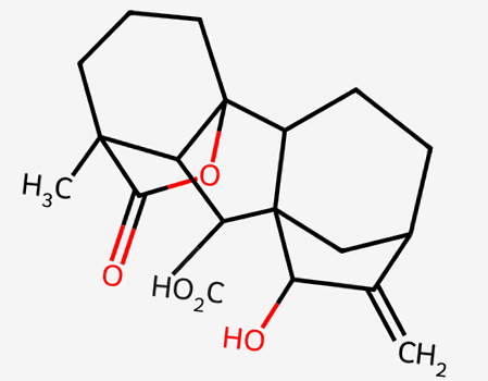 C=C1C2CCC3C45CCCC(C)(C(=O)O4)C5C(C(=O)O)C3(C2)C1O